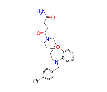 CC(C)c1ccc(CN2CCC3(CCN(C(=O)CCC(N)=O)CC3)Oc3ccccc32)cc1